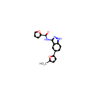 O=C(O)c1ccc(-c2ccc3[nH]nc(NC(=O)c4ccco4)c3c2)o1